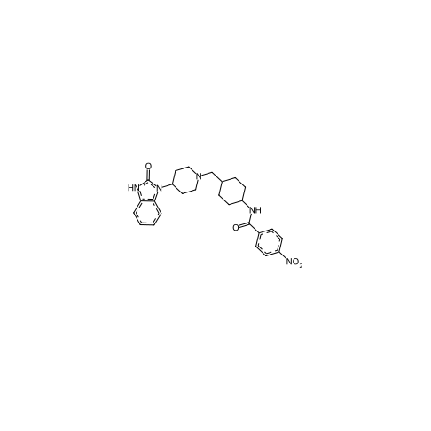 O=C(NC1CCC(CN2CCC(n3c(=O)[nH]c4ccccc43)CC2)CC1)c1ccc([N+](=O)[O-])cc1